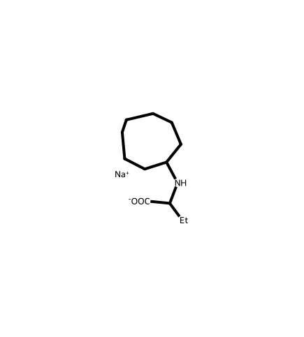 CCC(NC1CCCCCCC1)C(=O)[O-].[Na+]